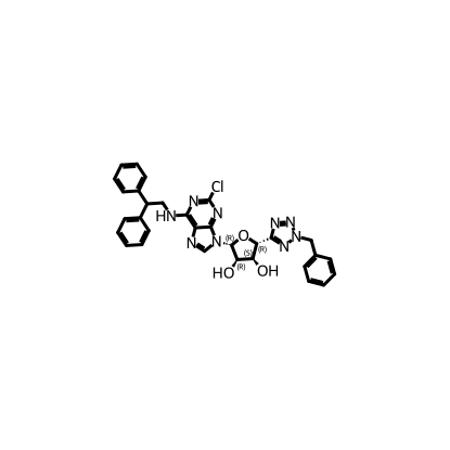 O[C@@H]1[C@H](O)[C@@H](c2nnn(Cc3ccccc3)n2)O[C@H]1n1cnc2c(NCC(c3ccccc3)c3ccccc3)nc(Cl)nc21